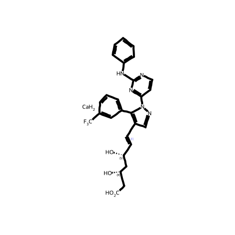 O=C(O)C[C@H](O)C[C@H](O)/C=C/c1cnn(-c2ccnc(Nc3ccccc3)n2)c1-c1cccc(C(F)(F)F)c1.[CaH2]